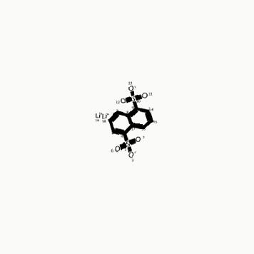 O=S(=O)([O-])c1cccc2c(S(=O)(=O)[O-])cccc12.[Li+].[Li+]